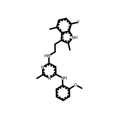 COc1ccccc1Nc1cc(NCCc2c(C)[nH]c3c(F)ccc(C)c23)nc(C)n1